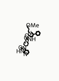 COCCCn1cc(-c2ccccc2)cc(NC(=O)N2CCC(n3c(=O)[nH]c4ncccc43)CC2)c1=O